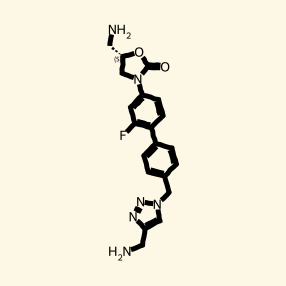 NCc1cn(Cc2ccc(-c3ccc(N4C[C@H](CN)OC4=O)cc3F)cc2)nn1